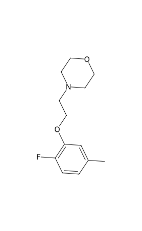 Cc1ccc(F)c(OCCN2CCOCC2)c1